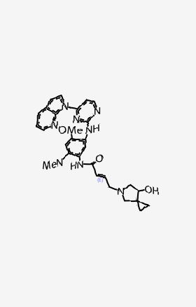 CNc1cc(OC)c(Nc2nccc(-n3ccc4cccnc43)n2)cc1NC(=O)/C=C/CN1CC(O)C2(CC2)C1